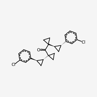 O=C(C1([C@@H]2C[C@H]2c2cccc(Cl)c2)CC1)C1([C@@H]2C[C@H]2c2cccc(Cl)c2)CC1